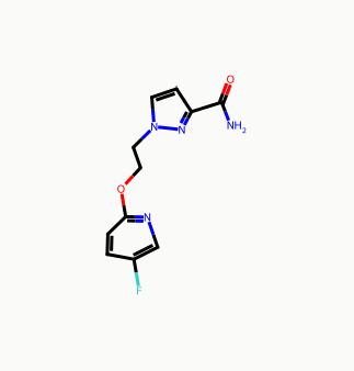 NC(=O)c1[c]cn(CCOc2ccc(F)cn2)n1